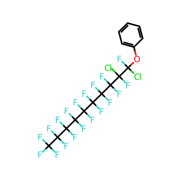 FC(F)(F)C(F)(F)C(F)(F)C(F)(F)C(F)(F)C(F)(F)C(F)(F)C(F)(F)C(F)(Cl)C(F)(Cl)Oc1ccccc1